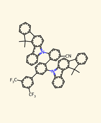 CC1(C)c2ccccc2-c2ccc3c(c21)c1ccccc1n3-c1ccc(C#N)cc1-c1ccc(-c2cc(C(F)(F)F)cc(C(F)(F)F)c2)cc1-n1c2ccccc2c2c3c(ccc21)-c1ccccc1C3(C)C